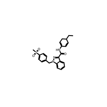 CCC1C=CC(NC(=O)c2nn(Cc3ccc(S(C)(=O)=O)cc3)c3ccccc23)=CC1